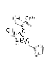 CCC1=[C-]CC=C1.CCC1=[C-]CC=C1.CCC1=[C-]CC=C1.[Ce+3]